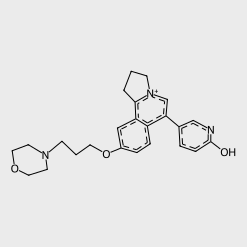 Oc1ccc(-c2c[n+]3c(c4cc(OCCCN5CCOCC5)ccc24)CCC3)cn1